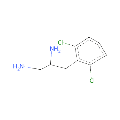 NCC(N)Cc1c(Cl)cccc1Cl